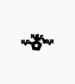 CS(=O)(=O)O.Cc1cccn1C